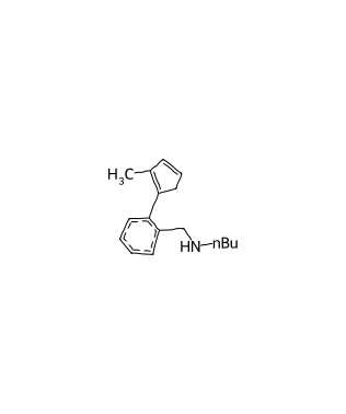 CCCCNCc1ccccc1C1=C(C)C=CC1